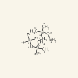 CCC[Si](C)(C)O[Si](F)(F)F.C[Si](C)(C)O[SiH3]